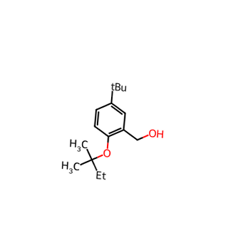 CCC(C)(C)Oc1ccc(C(C)(C)C)cc1CO